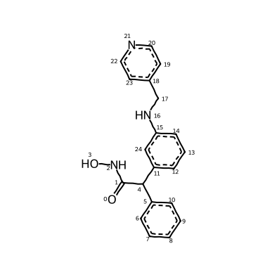 O=C(NO)C(c1ccccc1)c1cccc(NCc2ccncc2)c1